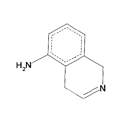 Nc1cccc2c1CC=NC2